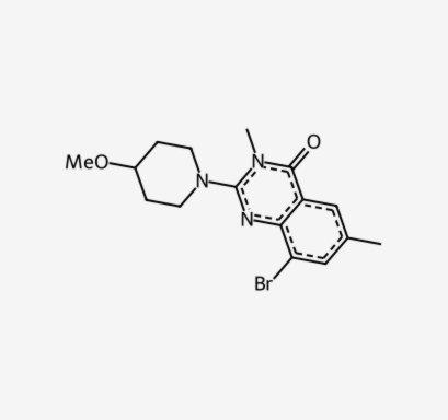 COC1CCN(c2nc3c(Br)cc(C)cc3c(=O)n2C)CC1